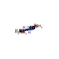 COC(=O)c1ccc2nc(NCCCCNC(=O)OC(C)(C)C)c(Cl)nc2c1